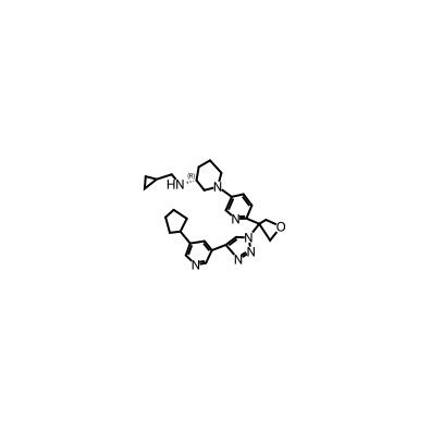 c1ncc(C2CCCC2)cc1-c1cn(C2(c3ccc(N4CCC[C@@H](NCC5CC5)C4)cn3)COC2)nn1